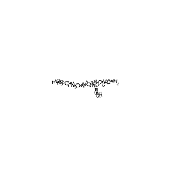 Cc1cc(N=Nc2c(SOOO)cc3cc(NC(=O)c4ccc(N)cc4)ccc3c2O)c(C)cc1N=Nc1ccc(N=Nc2ccc(SOOO)cc2C)c(C)c1